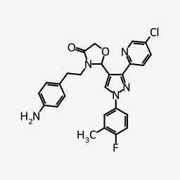 Cc1cc(-n2cc(C3OCC(=O)N3CCc3ccc(N)cc3)c(-c3ccc(Cl)cn3)n2)ccc1F